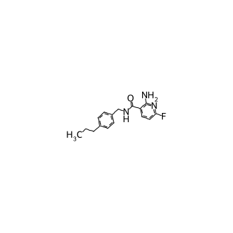 CCCc1ccc(CNC(=O)c2ccc(F)nc2N)cc1